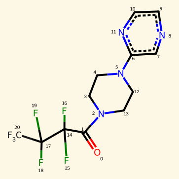 O=C(N1CCN(c2cnccn2)CC1)C(F)(F)C(F)(F)C(F)(F)F